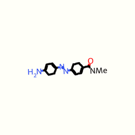 CNC(=O)C1=CC=C(N=NC2=CC=C(N)CC2)CC1